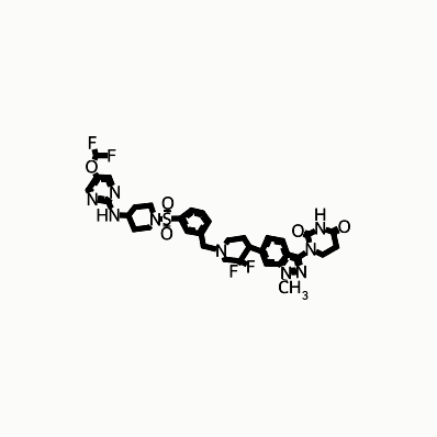 Cn1nc(N2CCC(=O)NC2=O)c2ccc(C3CCN(Cc4cccc(S(=O)(=O)N5CCC(Nc6ncc(OC(F)F)cn6)CC5)c4)CC3(F)F)cc21